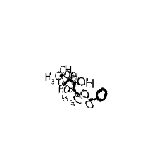 C[C@@H](OC(=O)c1ccccc1)[C@H]1O[C@@H]2OC(C)(C)O[C@@H]2[C@@H]1O